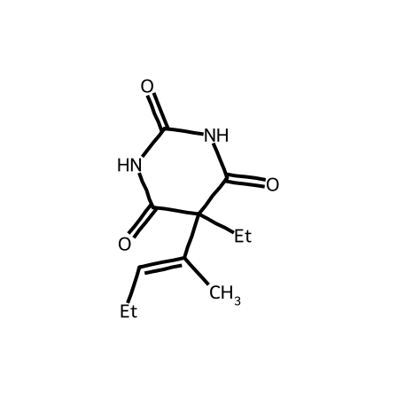 CCC=C(C)C1(CC)C(=O)NC(=O)NC1=O